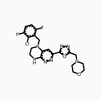 Fc1ccc(F)c(CN2CCNc3nnc(-c4nnc(CN5CCOCC5)o4)cc32)c1Cl